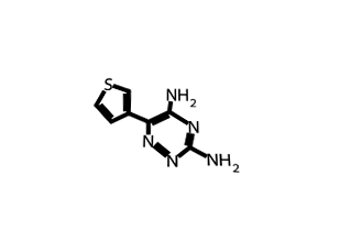 Nc1nnc(-c2ccsc2)c(N)n1